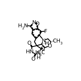 C[C@H]1CN2c3c(cc4c(N)noc4c3F)CC3(C(=O)NC(=O)NC3=O)[C@@H]2[C@@H](C)O1